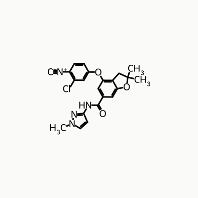 [C-]#[N+]c1ccc(Oc2cc(C(=O)Nc3ccn(C)n3)cc3c2CC(C)(C)O3)cc1Cl